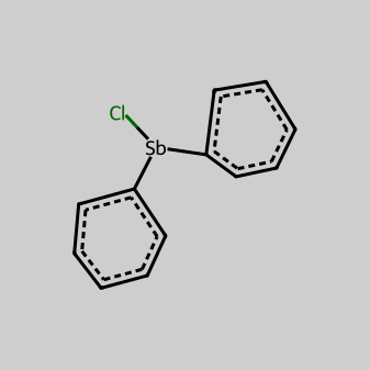 [Cl][Sb]([c]1ccccc1)[c]1ccccc1